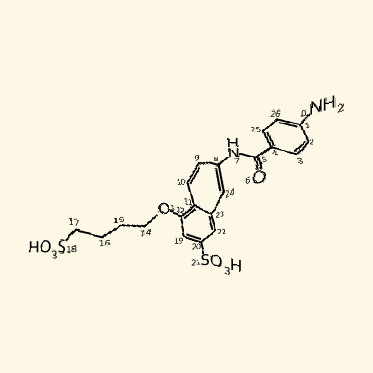 Nc1ccc(C(=O)Nc2ccc3c(OCCCCS(=O)(=O)O)cc(S(=O)(=O)O)cc3c2)cc1